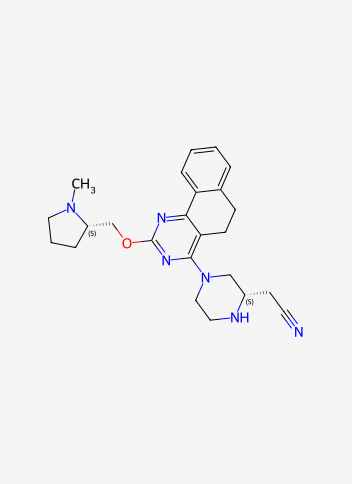 CN1CCC[C@H]1COc1nc2c(c(N3CCN[C@@H](CC#N)C3)n1)CCc1ccccc1-2